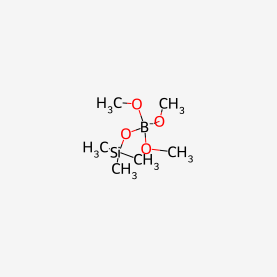 CO[B-](OC)(OC)O[Si](C)(C)C